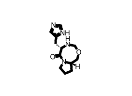 O=C1[C@H](Cc2cnc[nH]2)NCOC[C@@H]2CCCN12